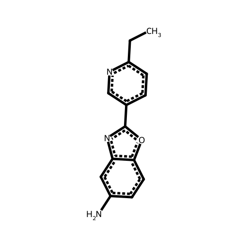 CCc1ccc(-c2nc3cc(N)ccc3o2)cn1